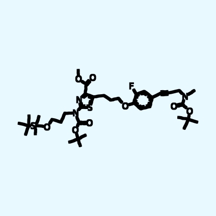 COC(=O)c1nc(N(CCCO[Si](C)(C)C(C)(C)C)C(=O)OC(C)(C)C)sc1CCCOc1ccc(C#CCN(C)C(=O)OC(C)(C)C)cc1F